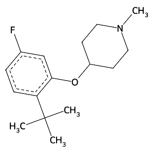 CN1CCC(Oc2cc(F)ccc2C(C)(C)C)CC1